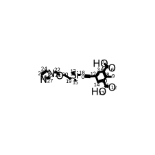 C#Cc1cc(C(=O)O)c(C)c(C(=O)O)c1.C[Si](C)(C)CCOCn1ccnc1